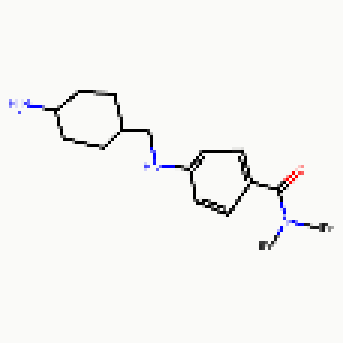 CC(C)N(C(=O)c1ccc(NCC2CCC(N)CC2)cc1)C(C)C